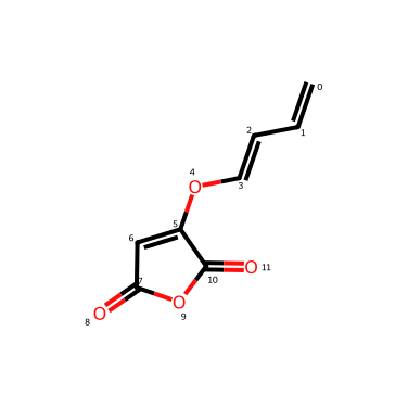 C=CC=COC1=CC(=O)OC1=O